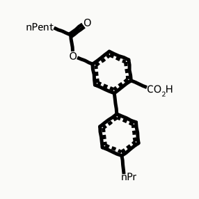 CCCCCC(=O)Oc1ccc(C(=O)O)c(-c2ccc(CCC)cc2)c1